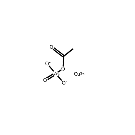 CC(=O)O[As](=O)([O-])[O-].[Cu+2]